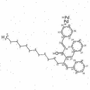 CCCCCCCCCCCCC(=Cc1ccccc1)C(=Cc1ccccc1)C(=O)C=Cc1ccccc1.[Pd].[Pd]